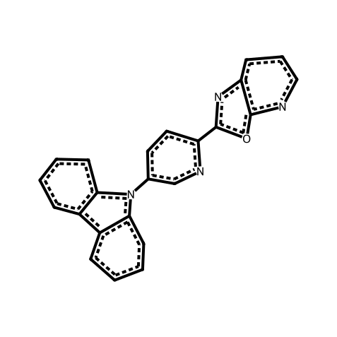 c1cnc2oc(-c3ccc(-n4c5ccccc5c5ccccc54)cn3)nc2c1